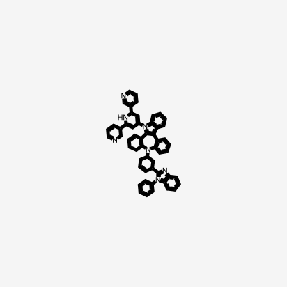 C1=CC(C2=CC(n3c4c(c5ccccc53)-c3ccccc3N(C3CC=CC(c5nc6ccccc6n5-c5ccccc5)C3)C3=C4C=CCC3)=CC(c3cccnc3)N2)CN=C1